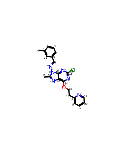 Cc1cccc(C=Nn2c(C)nc3c(OCCc4ccccn4)nc(Cl)nc32)c1